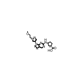 COCCn1cc(-n2nnc3cnc(N[C@@H]4CC[C@@H](C(=O)O)C4)nc32)cn1